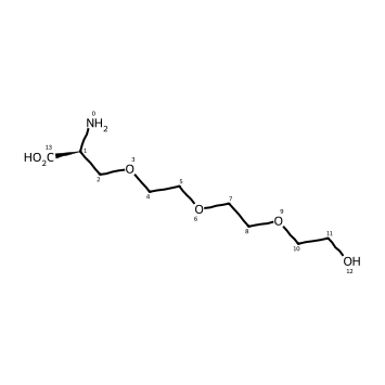 N[C@@H](COCCOCCOCCO)C(=O)O